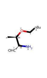 CCCCCO[C@H](C)[C@H](N)[C]=O